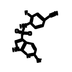 N#Cc1ccc(NS(=O)(=O)c2c[nH]c3nc(Br)ccc23)c(F)c1